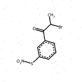 CC(Br)C(=O)c1[c]ccc(S[N+](=O)[O-])c1